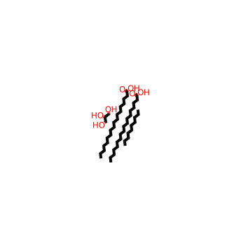 CCCCCCCCCC.CCCCCCCCCCCCCCCCCC(=O)O.CCCCCCCCCCCCCCCCCC(=O)O.OCC(O)CO